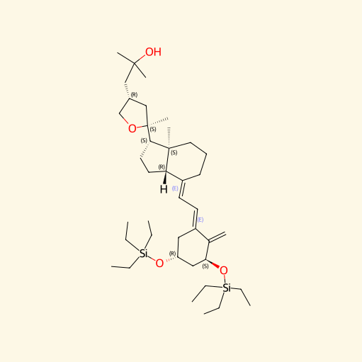 C=C1/C(=C/C=C2\CCC[C@@]3(C)[C@H]2CC[C@@H]3[C@]2(C)C[C@@H](CC(C)(C)O)CO2)C[C@@H](O[Si](CC)(CC)CC)C[C@@H]1O[Si](CC)(CC)CC